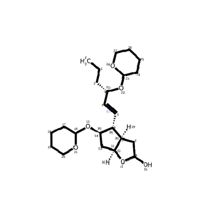 CCC[C@@H](/C=C/[C@@H]1[C@H]2CC(O)O[C@H]2C[C@H]1OC1CCCCO1)OC1CCCCO1